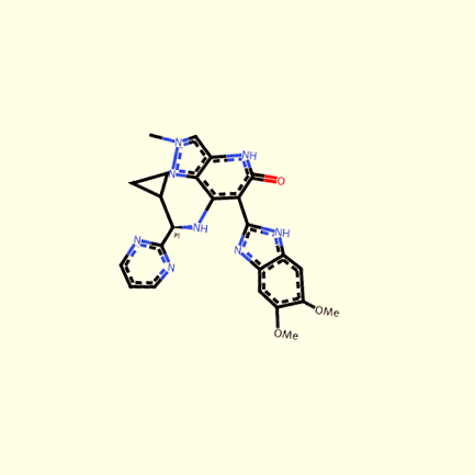 COc1cc2nc(-c3c(N[C@@H](c4ncccn4)C4CC4)c4nn(C)cc4[nH]c3=O)[nH]c2cc1OC